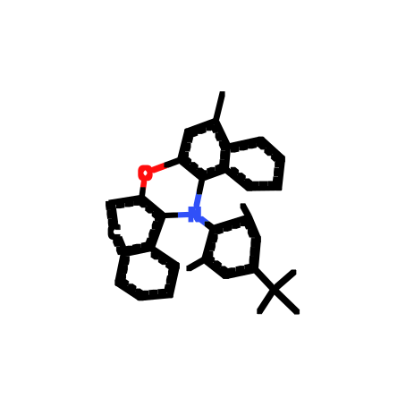 Cc1cc(C(C)(C)C)cc(C)c1N1c2c(ccc3ccccc23)Oc2cc(C)c3ccccc3c21